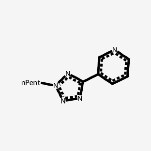 CCCCCn1nnc(-c2cccnc2)n1